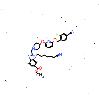 COC(=O)c1cc(F)c2nc(CN3CCC(Oc4cccc(OCc5ccc(C#N)cc5F)n4)CC3)n(CCCCCCC#N)c2c1